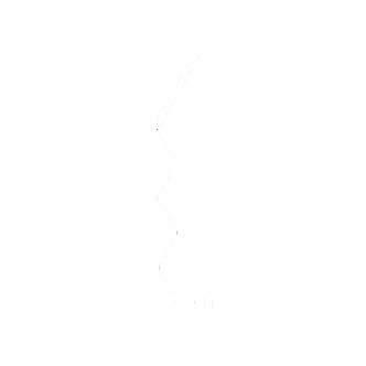 O=C=COCCCC(=O)O